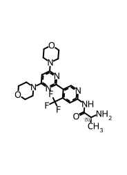 C[C@H](N)C(=O)Nc1cc(C(F)(F)F)c(-c2nc(N3CCOCC3)cc(N3CCOCC3)n2)cn1